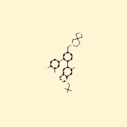 CC(C)(O)Cn1ncc2cc(-c3ccc(CN4CCC5(CNC5)C4)cc3-c3ccc(C#N)c(F)c3)c(F)cc21